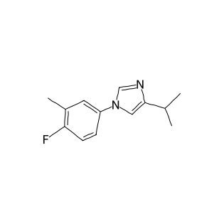 Cc1cc(-n2cnc(C(C)C)c2)ccc1F